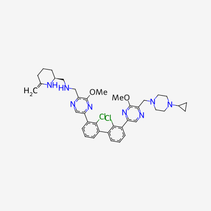 C=C1CCC[C@@H](CNCc2ncc(-c3cccc(-c4cccc(-c5cnc(CN6CCN(C7CC7)CC6)c(OC)n5)c4Cl)c3Cl)nc2OC)N1